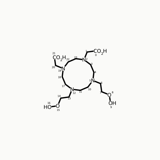 O=C(O)CN1CCN(CCOO)CCN(CCOO)CCN(CC(=O)O)CC1